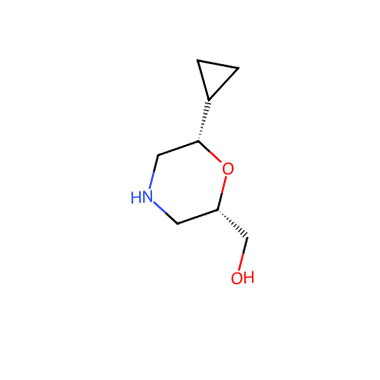 OC[C@@H]1CNC[C@H](C2CC2)O1